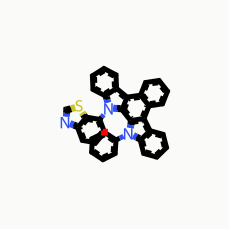 c1ccc(-n2c3ccccc3c3c4ccccc4c4c5ccccc5n(-c5cccc6ncsc56)c4c32)cc1